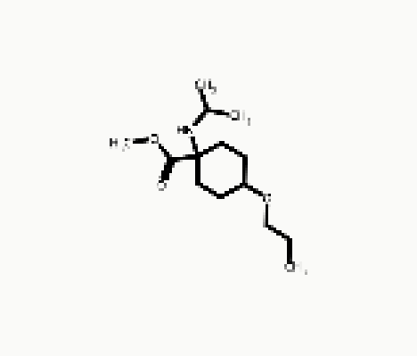 CCCOC1CCC(NC(C)C)(C(=O)OC)CC1